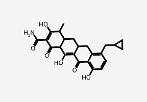 CC1C(O)=C(C(N)=O)C(=O)C2C(O)=C3C(=O)c4c(O)ccc(CC5CC5)c4CC3CC12